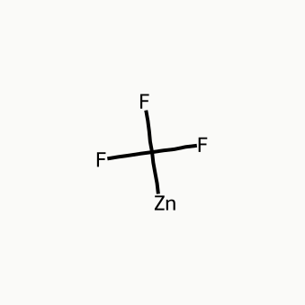 F[C](F)(F)[Zn]